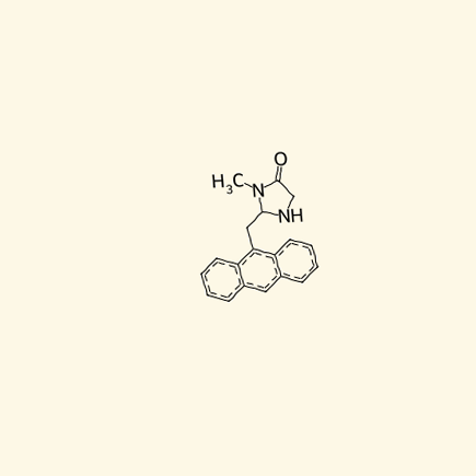 CN1C(=O)CNC1Cc1c2ccccc2cc2ccccc12